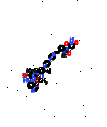 CCn1c(=O)n(C2CCC(=O)NC2=O)c2cccc(CCN3CCN(C4CCN(c5cc(OC)c(Nc6ncc(Br)c(Nc7ccc8nccnc8c7NS(C)(=O)=O)n6)cc5C5CC5)CC4)CC3)c21